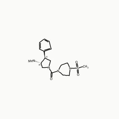 CN[C@H]1CN(C(=O)N2CCN(S(C)(=O)=O)CC2)C[C@@H]1c1ccccc1